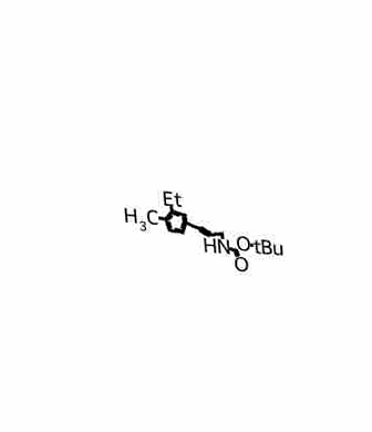 CCc1cc(C#CCNC(=O)OC(C)(C)C)ccc1C